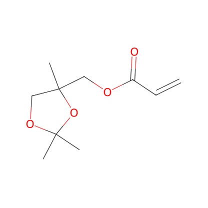 C=CC(=O)OCC1(C)COC(C)(C)O1